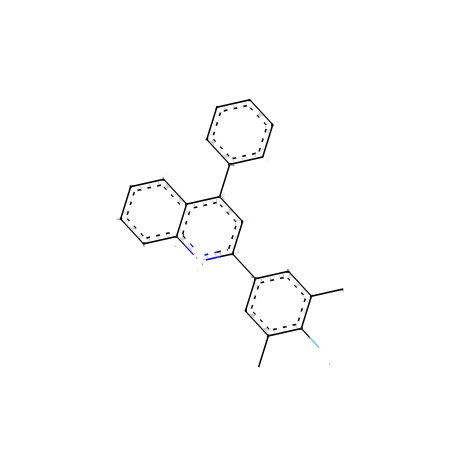 Cc1cc(-c2cc(-c3ccccc3)c3ccccc3n2)cc(C)c1F